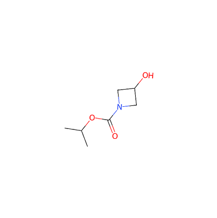 CC(C)OC(=O)N1CC(O)C1